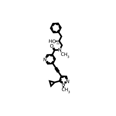 CN(C[C@@H](O)Cc1ccccc1)C(=O)c1cncc(C#Cc2cnn(C)c2C2CC2)c1